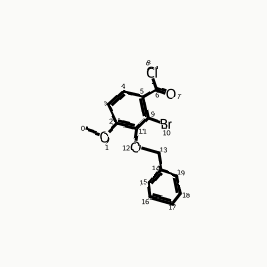 COc1ccc(C(=O)Cl)c(Br)c1OCc1ccccc1